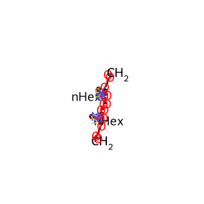 C=CC(=O)OCCCCCCOc1ccc(OC(=O)c2ccc(OC(=O)CCOC(=O)c3ccc(OC(=O)c4ccc(OCCCCCCOC(=O)C=C)cc4)c(/C=N/N(CCCCCC)c4nc5ccccc5s4)c3)cc2/C=N/N(CCCCCC)c2nc3ccccc3s2)cc1